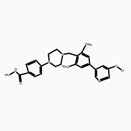 CCCNC(=O)c1ccc(N2CCN(Cc3c(OC)cc(-c4cncc(OCC)c4)cc3OC)CC2)cc1